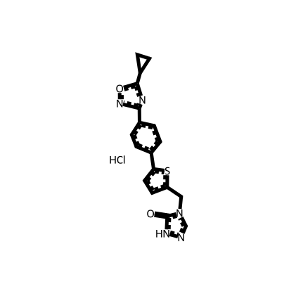 Cl.O=c1[nH]ncn1Cc1ccc(-c2ccc(-c3noc(C4CC4)n3)cc2)s1